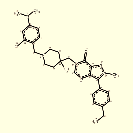 CN(C)c1ccc(CN2CCC(O)(Cn3cnc4c(-c5ccc(CN)cc5)n(C)nc4c3=O)CC2)c(Cl)c1